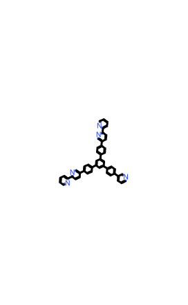 c1ccc(-c2ccc(-c3ccc(-c4cc(-c5ccc(-c6cccnc6)cc5)cc(-c5ccc(-c6ccc(-c7ccccn7)nc6)cc5)c4)cc3)cn2)nc1